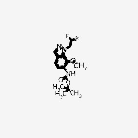 COc1c(NC(=O)OC(C)(C)C)ccc2cnn(CC(F)F)c12